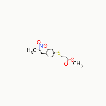 COC(=O)CCSc1ccc(C=C(C)[N+](=O)[O-])cc1